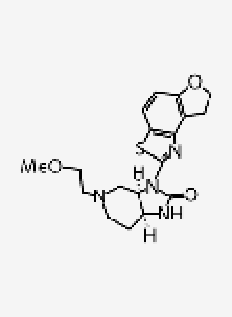 COCCN1CC[C@@H]2NC(=O)N(c3nc4c5c(ccc4s3)OCC5)[C@@H]2C1